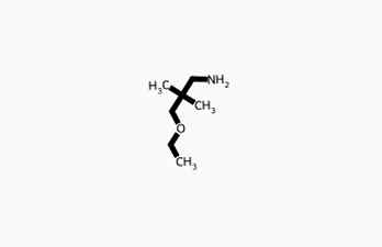 CCOCC(C)(C)CN